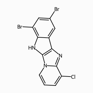 Clc1cccn2c1nc1c3cc(Br)cc(Br)c3[nH]c12